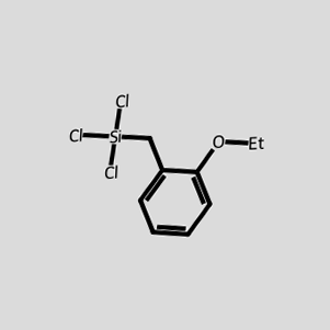 CCOc1ccccc1C[Si](Cl)(Cl)Cl